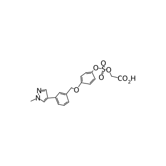 Cn1cc(-c2cccc(COc3ccc(OS(=O)(=O)OCC(=O)O)cc3)c2)cn1